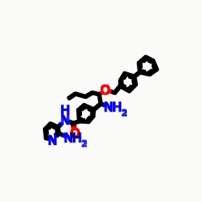 CCCCC(OCc1ccc(-c2ccccc2)cc1)C(N)c1ccc(C(=O)Nc2cccnc2N)cc1